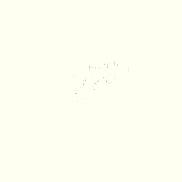 CCCCOC[C@H]1O[C@@H](n2ccc3c(Cl)ncnc32)[C@H](O)C[C@@H](OCCCC)[C@@H]1OCCCC